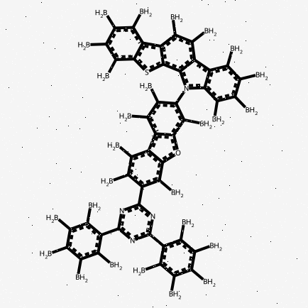 Bc1c(B)c(B)c(-c2nc(-c3c(B)c(B)c(B)c(B)c3B)nc(-c3c(B)c(B)c4c(oc5c(B)c(-n6c7c(B)c(B)c(B)c(B)c7c7c(B)c(B)c8c(sc9c(B)c(B)c(B)c(B)c98)c76)c(B)c(B)c54)c3B)n2)c(B)c1B